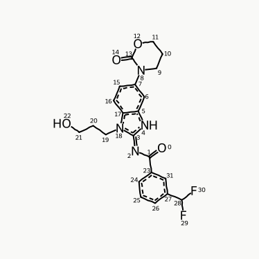 O=C(/N=c1\[nH]c2cc(N3CCCOC3=O)ccc2n1CCCO)c1cccc(C(F)F)c1